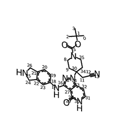 CC(C)(C)OC(=O)N1CCC(CC#N)(n2nc(Nc3ccc4c(c3)CNC4)c3c(=O)[nH]ccc32)CC1